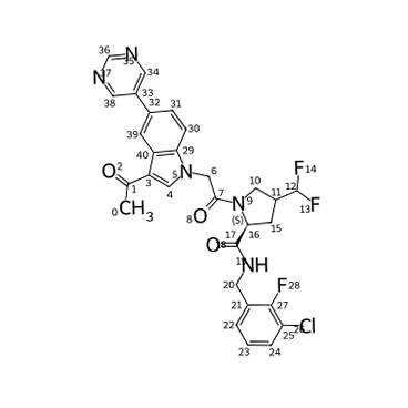 CC(=O)c1cn(CC(=O)N2CC(C(F)F)C[C@H]2C(=O)NCc2cccc(Cl)c2F)c2ccc(-c3cncnc3)cc12